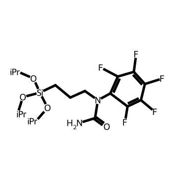 CC(C)O[Si](CCCN(C(N)=O)c1c(F)c(F)c(F)c(F)c1F)(OC(C)C)OC(C)C